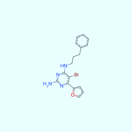 Nc1nc(NCCCc2ccccc2)c(Br)c(-c2ccco2)n1